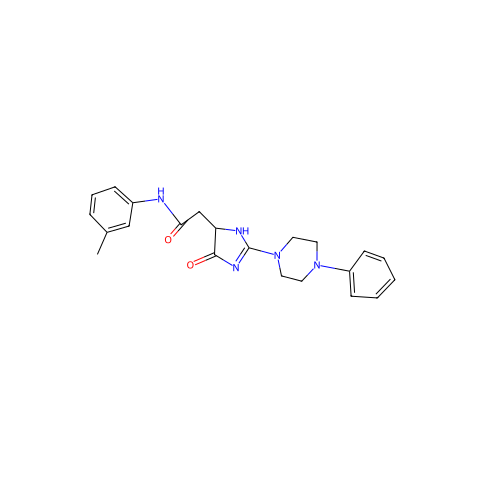 Cc1cccc(NC(=O)CC2NC(N3CCN(c4ccccc4)CC3)=NC2=O)c1